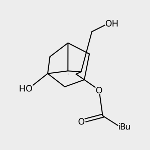 CCC(C)C(=O)OC12CC(CO)=C3C(C1)CC3(O)C2